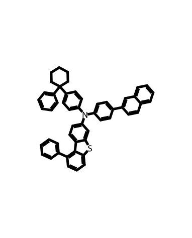 c1ccc(-c2cccc3sc4cc(N(c5ccc(-c6ccc7ccccc7c6)cc5)c5ccc(C6(c7ccccc7)CCCCC6)cc5)ccc4c23)cc1